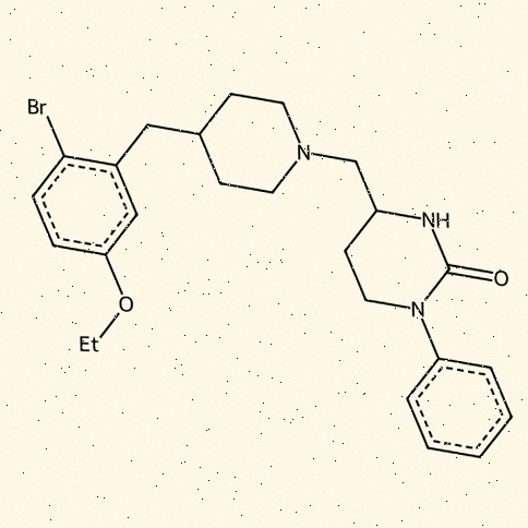 CCOc1ccc(Br)c(CC2CCN(CC3CCN(c4ccccc4)C(=O)N3)CC2)c1